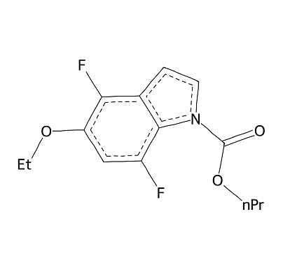 CCCOC(=O)n1ccc2c(F)c(OCC)cc(F)c21